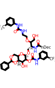 CCCCCCCCCCC(=O)N[C@H](CO[C@H]1OC2COC(c3ccccc3)O[C@@H]2C(O)C1OC(=O)Nc1cccc(C(F)(F)F)c1)C(CO)OCCNC(=O)Nc1cccc(C(F)(F)F)c1